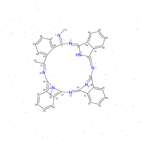 C/N=c1\nc2[nH]c(nc3nc(nc4c5ccccc5c(nc(C)c5ccccc15)n4C)-c1ccccc1-3)c1ccccc21